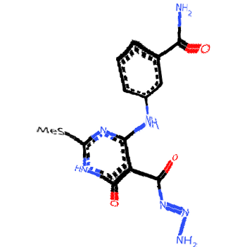 CSc1nc(Nc2cccc(C(N)=O)c2)c(C(=O)N=NN)c(=O)[nH]1